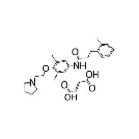 Cc1ccccc1CCC(=O)Nc1cc(C)c(OCCN2CCCC2)c(C)c1.O=C(O)C=CC(=O)O